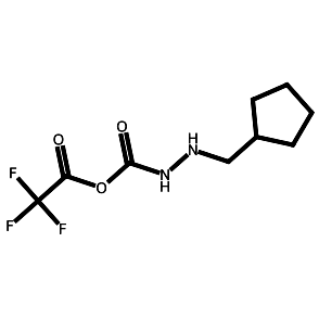 O=C(NNCC1CCCC1)OC(=O)C(F)(F)F